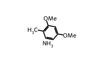 COc1ccc(C)c(OC)c1.N